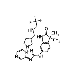 CC1(C)C(=O)Nc2cc(NC3=N[N+]4(N5CCC(CNCC(F)(F)F)C5)C=CN=CC4=N3)ccc21